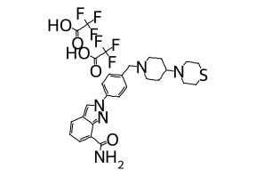 NC(=O)c1cccc2cn(-c3ccc(CN4CCC(N5CCSCC5)CC4)cc3)nc12.O=C(O)C(F)(F)F.O=C(O)C(F)(F)F